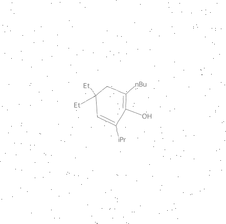 CCCCC1=C(O)C(C(C)C)=CC(CC)(CC)C1